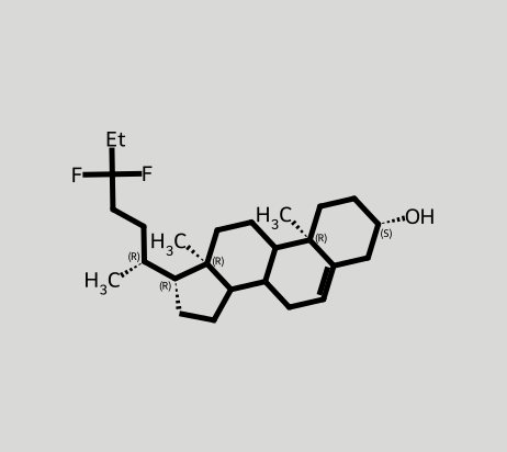 CCC(F)(F)CC[C@@H](C)[C@H]1CCC2C3CC=C4C[C@@H](O)CC[C@]4(C)C3CC[C@@]21C